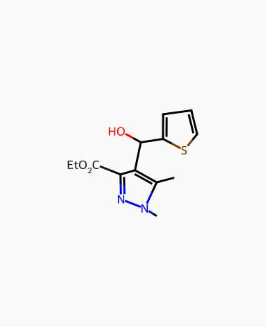 CCOC(=O)c1nn(C)c(C)c1C(O)c1cccs1